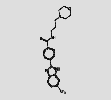 O=C(NCCCN1CCOCC1)c1ccc(-c2nc3ccc(C(F)(F)F)cc3[nH]2)cc1